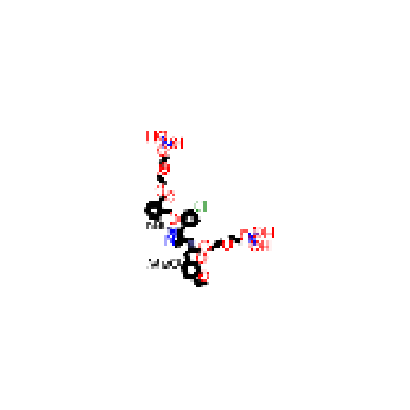 CCCCn1ncc(/C=C(\Cc2cc3c(cc2OC)CCO3)C(=O)OCCOCCON(O)O)c1-c1ccc(Cl)cc1OCc1ccccc1C(=O)OCCOCCON(O)O